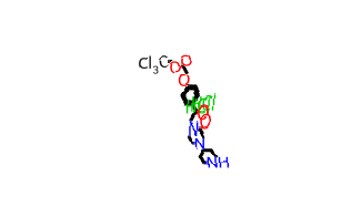 Cl.Cl.O=C(COc1ccc(C(=O)CN2CCN(C3CCNCC3)CC2=O)cc1)OCC(Cl)(Cl)Cl